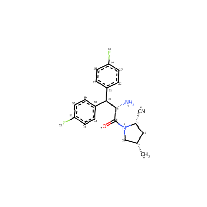 C[C@H]1C[C@@H](C#N)N(C(=O)[C@@H](N)C(c2ccc(F)cc2)c2ccc(F)cc2)C1